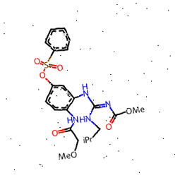 COCC(=O)Nc1ccc(OS(=O)(=O)c2ccccc2)cc1N/C(=N/C(=O)OC)NCC(C)C